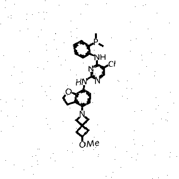 COC1CC2(C1)CN(c1ccc(Nc3ncc(Cl)c(Nc4ccccc4P(C)C)n3)c3c1CCO3)C2